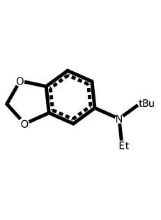 CCN(c1ccc2c(c1)OCO2)C(C)(C)C